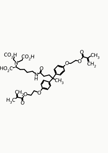 C=C(C)C(=O)OCCOc1ccc(C(C)(CCC(=O)NCCCC[C@@H](C(=O)O)N(CC(=O)O)CC(=O)O)c2ccc(OCCOC(=O)C(=C)C)cc2)cc1